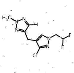 Cn1nc(I)c(Cc2cn(CC(F)F)nc2Cl)n1